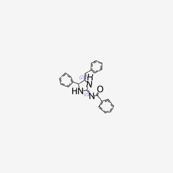 O=C(/N=C1\N/C(=C\c2ccccc2)C(c2ccccc2)N1)c1ccccc1